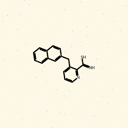 N=C(S)c1ncccc1Cc1ccc2ccccc2c1